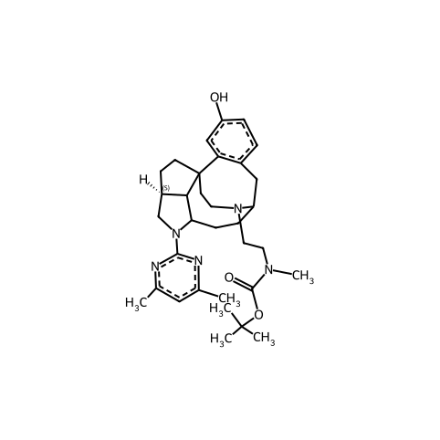 Cc1cc(C)nc(N2C[C@H]3CCC45CCN(CCN(C)C(=O)OC(C)(C)C)C(CCC2C34)Cc2ccc(O)cc25)n1